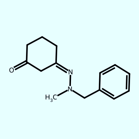 CN(Cc1ccccc1)N=C1CCCC(=O)C1